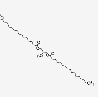 CCCCCCCCCCCCCCCCC(=O)OCC(O)COC(=O)CCCCCCCCCCCCCCCC